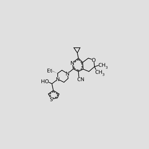 CC[C@@H]1CN(c2nc(C3CC3)c3c(c2C#N)CC(C)(C)OC3)CCN1C(O)c1ccsc1